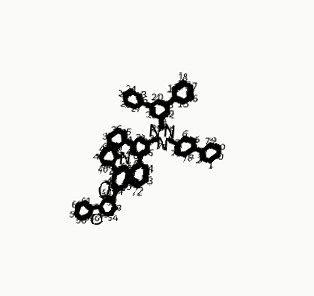 c1ccc(-c2ccc(-c3nc(-c4cc(-c5ccccc5)cc(-c5ccccc5)c4)nc(-c4cc(-c5ccccc5)c(-n5c6ccccc6c6c7oc8c(ccc9oc%10ccccc%10c98)c7ccc65)c(-c5ccccc5)c4)n3)cc2)cc1